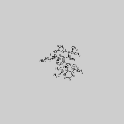 C=CN=N.CC(=O)C1=CC(C(C)C)C(=N)C(C(C)C)=C1C(C)=O.CC(C)C1=CC=CC(C(C)C)C1=N